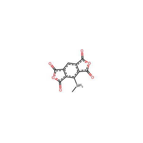 C[SiH2]c1c2c(=O)oc(=O)c2cc2c(=O)oc(=O)c12